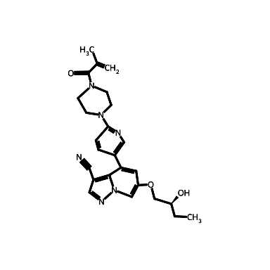 C=C(C)C(=O)N1CCN(c2ccc(-c3cc(OC[C@@H](O)CC)cn4ncc(C#N)c34)cn2)CC1